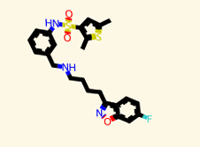 Cc1cc(S(=O)(=O)Nc2cccc(CNCCCCc3noc4cc(F)ccc34)c2)c(C)s1